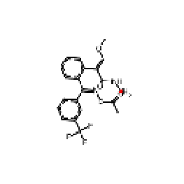 CO/C=C(/C(=O)NN)c1ccccc1/C(=N/OC(C)=O)c1cccc(C(F)(F)F)c1